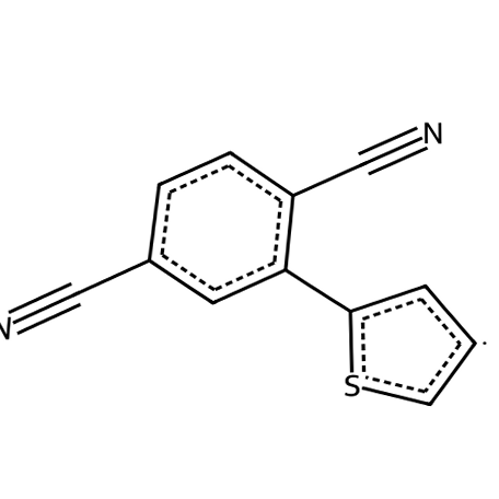 N#Cc1ccc(C#N)c(-c2c[c]cs2)c1